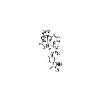 CN(C(=O)Cc1ccc2c(c1)NC(=O)C2)[C@H](CN1CCC(O)C1)c1cccc(-c2cscn2)c1